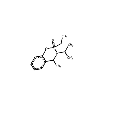 CCP1(=S)Oc2ccccc2C(C)N1C(C)C